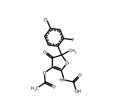 CC(=O)OC1=C(NC(=O)O)OC(C)(c2ccc(Cl)cc2F)C1=O